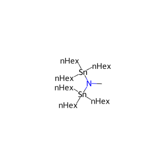 CCCCC[CH2][Sn]([CH2]CCCCC)([CH2]CCCCC)[N](C)[Sn]([CH2]CCCCC)([CH2]CCCCC)[CH2]CCCCC